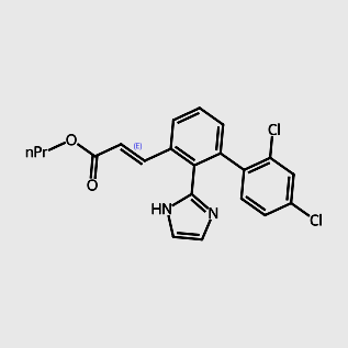 CCCOC(=O)/C=C/c1cccc(-c2ccc(Cl)cc2Cl)c1-c1ncc[nH]1